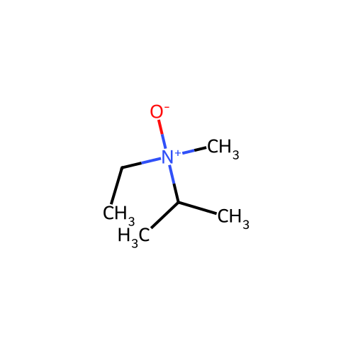 CC[N+](C)([O-])C(C)C